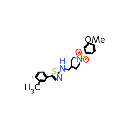 COc1cccc(S(=O)(=O)N2CCC(CNc3ncc(-c4cc[c]c(C)c4)s3)CC2)c1